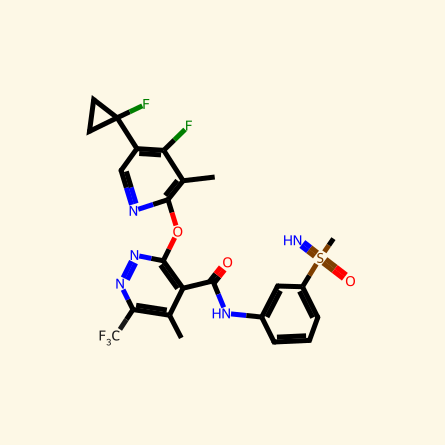 Cc1c(Oc2nnc(C(F)(F)F)c(C)c2C(=O)Nc2cccc(S(C)(=N)=O)c2)ncc(C2(F)CC2)c1F